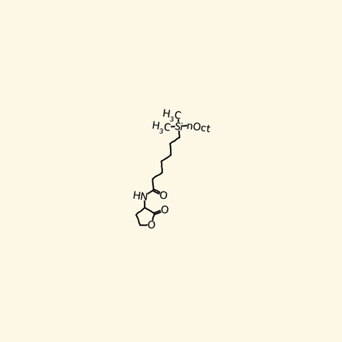 CCCCCCCC[Si](C)(C)CCCCCCC(=O)NC1CCOC1=O